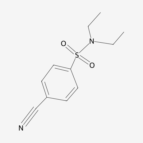 CCN(CC)S(=O)(=O)c1ccc(C#N)cc1